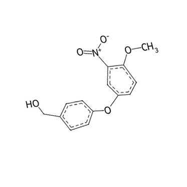 COc1ccc(Oc2ccc(CO)cc2)cc1[N+](=O)[O-]